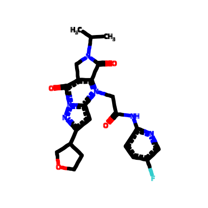 CC(C)N1Cc2c(n(CC(=O)Nc3ccc(F)cn3)c3cc(C4CCOC4)nn3c2=O)C1=O